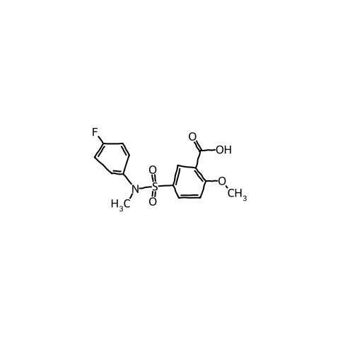 COc1ccc(S(=O)(=O)N(C)c2ccc(F)cc2)cc1C(=O)O